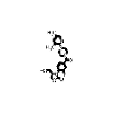 Cc1cnc(N2CCN(C(=O)c3ccc(N4C(=O)OCC4CO)c(F)c3)CC2)c(C)c1